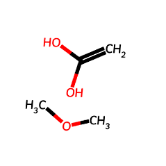 C=C(O)O.COC